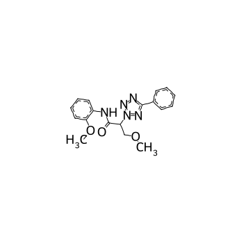 COCC(C(=O)Nc1ccccc1OC)n1nnc(-c2ccccc2)n1